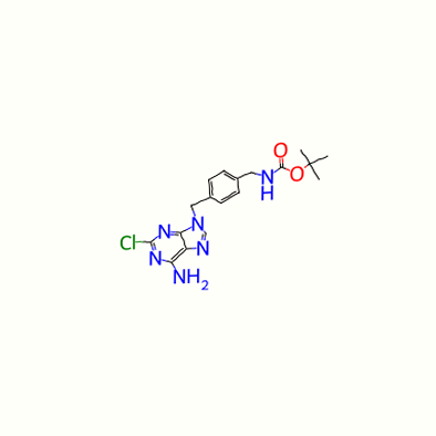 CC(C)(C)OC(=O)NCc1ccc(Cn2cnc3c(N)nc(Cl)nc32)cc1